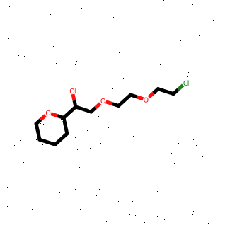 OC(COCCOCCCl)C1CCCCO1